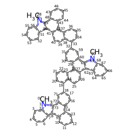 Cn1c2ccccc2c2c3ccccc3c3ccc(-c4cccc5c4ccc4c5c5ccc(-c6cccc7c6ccc6c7c7ccccc7c7c6c6ccccc6n7C)cc5c5c4c4ccccc4n5C)cc3c21